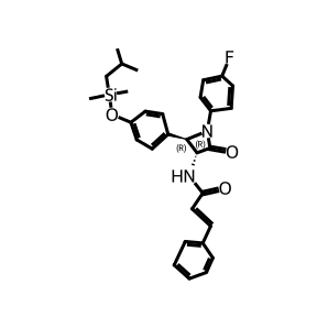 CC(C)C[Si](C)(C)Oc1ccc([C@@H]2[C@@H](NC(=O)C=Cc3ccccc3)C(=O)N2c2ccc(F)cc2)cc1